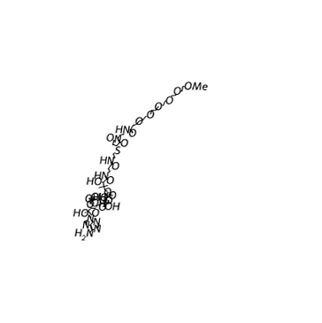 COCCOCCOCCOCCOCCOCCC(=O)NCCN1C(=O)CC(SCCNC(=O)CCNC(=O)[C@H](O)C(C)(C)COP(=O)(O)OP(=O)(O)OC[C@H]2O[C@@H](n3cnc4c(N)ncnc43)[C@@H](O)C2OP(=O)(O)O)C1=O